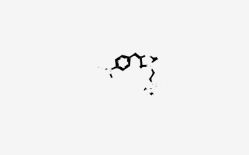 CCCCCCN(C)c1ccc(C=C2SC(=S)N(CCNS(=O)(=O)C(F)(F)F)C2=O)cc1